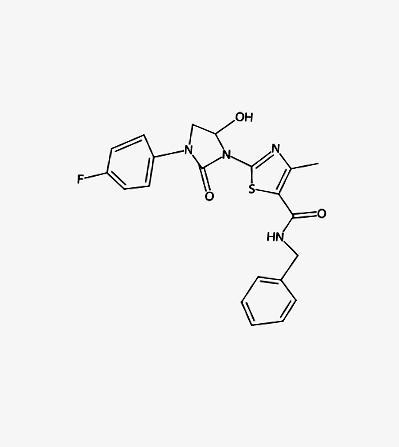 Cc1nc(N2C(=O)N(c3ccc(F)cc3)CC2O)sc1C(=O)NCc1ccccc1